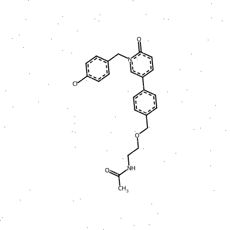 CC(=O)NCCOCc1ccc(-c2ccc(=O)n(Cc3ccc(Cl)cc3)c2)cc1